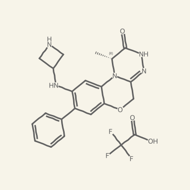 C[C@@H]1C(=O)NN=C2COc3cc(-c4ccccc4)c(NC4CNC4)cc3N21.O=C(O)C(F)(F)F